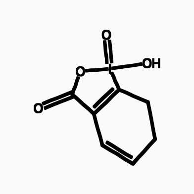 O=C1OI(=O)(O)C2=C1C=CCC2